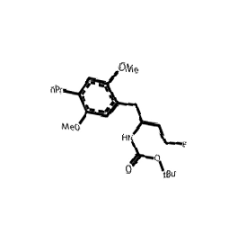 CCCc1cc(OC)c(CC(CCF)NC(=O)OC(C)(C)C)cc1OC